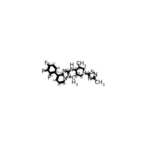 Cc1nsc(N2C[C@H](C)C(Nc3nc4c(-c5ccc(F)c(F)c5F)cccn4n3)[C@@H](C)C2)n1